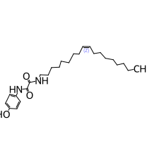 CCCCCCCC/C=C\CCCCCCCCNC(=O)C(=O)Nc1ccc(O)cc1